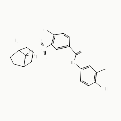 Cc1ccc(NC(=O)c2ccc(Cl)c(S(=O)(=O)[C@@H]3CC4CC[C@@H](C3)[C@]4(C)O)c2)cc1F